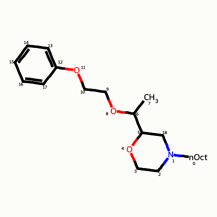 CCCCCCCCN1CCOC(C(C)OCCOc2ccccc2)C1